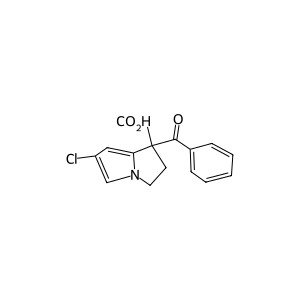 O=C(O)C1(C(=O)c2ccccc2)CCn2cc(Cl)cc21